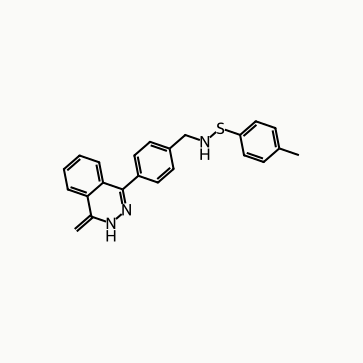 C=C1NN=C(c2ccc(CNSc3ccc(C)cc3)cc2)c2ccccc21